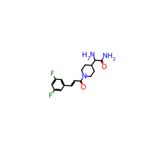 NC(=O)C(N)C1CCN(C(=O)/C=C/c2cc(F)cc(F)c2)CC1